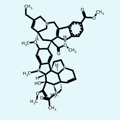 CCC1=C[C@H]2CN(C1)CC1=C(Bc3ccc(C(=O)OC)cc31)[C@@](C(=O)OC)(C1C=C3C(=CC1OC)N(C)[C@H]1[C@@](O)(C(=O)OC)[C@H](OC(C)=O)[C@]4(CC)C=CCN5CC[C@]31[C@@H]54)C2